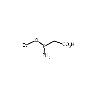 CCOP(P)CC(=O)O